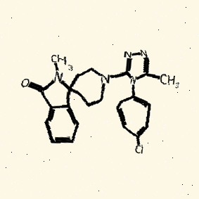 Cc1nnc(N2CCC3(CC2)c2ccccc2C(=O)N3C)n1-c1ccc(Cl)cc1